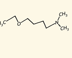 CCOCCCCN(C)C